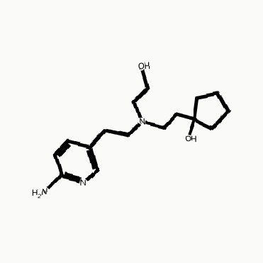 Nc1ccc(CCN(CCO)CCC2(O)CCCC2)cn1